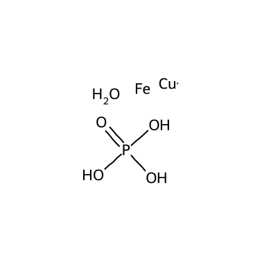 O.O=P(O)(O)O.[Cu].[Fe]